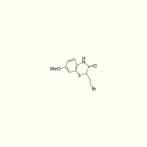 COc1ccc2c(c1)SC(CCBr)C(=O)N2